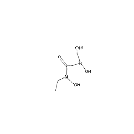 CCN(O)C(=O)N(O)O